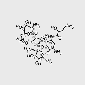 NCCC(O)C(=O)N[C@@H]1C[C@H](N)[C@@H](O[C@H]2O[C@H](CN)[C@@H](O)[C@@H](O)[C@H]2N)[C@H](O[C@@H]2O[C@H](CO)[C@@H](O[C@H]3O[C@@H](CN)[C@@H](O)[C@H](O)[C@H]3N)[C@H]2O)[C@H]1O